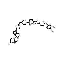 N#Cc1ccc(O[C@H]2CC[C@H](NC(=O)c3ccc(N4CCC(CN5CCC(n6ccc7c(N8CCC(=O)NC8=O)nccc76)CC5)CC4)nn3)CC2)cc1Cl